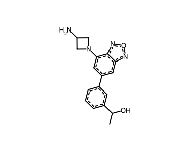 CC(O)c1cccc(-c2cc(N3CC(N)C3)c3nonc3c2)c1